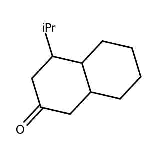 CC(C)C1CC(=O)CC2CCCCC21